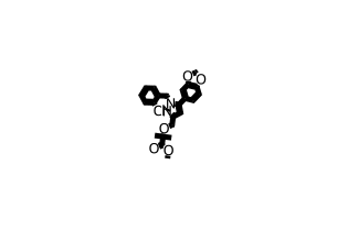 COC(=O)C(C)(C)OCc1cc(-c2ccc3c(c2)OCO3)n(Cc2ccccc2Cl)n1